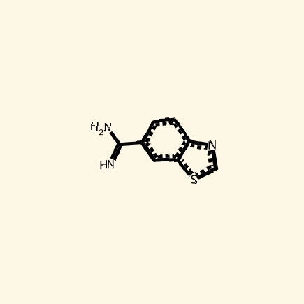 N=C(N)c1ccc2ncsc2c1